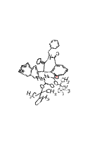 CC(C)(C)OC(=O)NN(C(=O)OC(C)(C)C)[C@]1(c2ccc3ccccc3c2)C(=O)N(Cc2ccccc2)C(=O)c2ccccc21